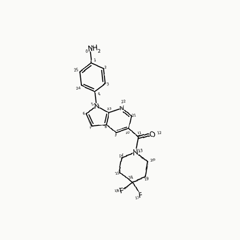 Nc1ccc(-n2ccc3cc(C(=O)N4CCC(F)(F)CC4)cnc32)cc1